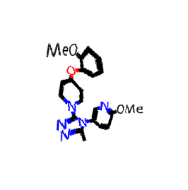 COc1ccc(-n2c(C)nnc2N2CCC(Oc3ccccc3OC)CC2)cn1